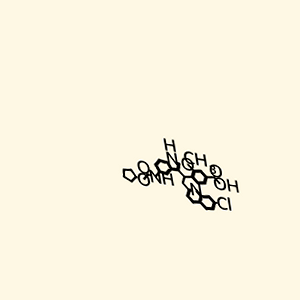 COc1cc(C(=O)O)ccc1C(Cc1ccc2ccc(Cl)cc2n1)c1c[nH]c2ccc(NC(=O)OC3CCCC3)cc12